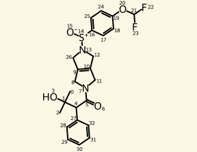 CC(C)(O)C(C(=O)N1CC2=C(C1)CN([S+]([O-])c1ccc(OC(F)F)cc1)C2)c1ccccc1